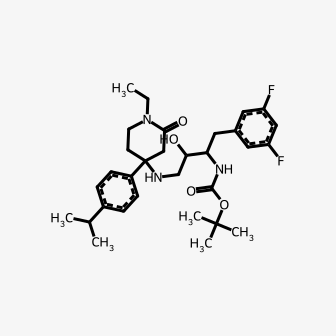 CCN1CCC(NCC(O)C(Cc2cc(F)cc(F)c2)NC(=O)OC(C)(C)C)(c2ccc(C(C)C)cc2)CC1=O